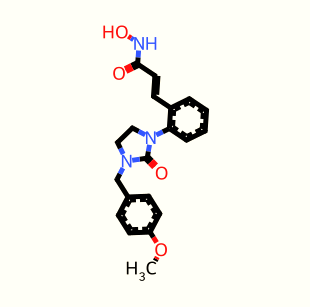 COc1ccc(CN2CCN(c3ccccc3/C=C/C(=O)NO)C2=O)cc1